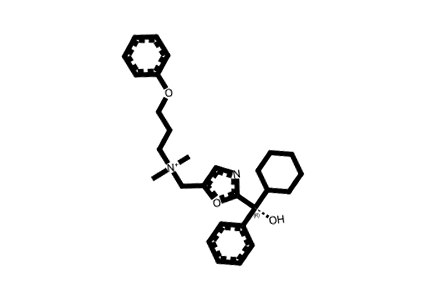 C[N+](C)(CCCOc1ccccc1)Cc1cnc([C@](O)(c2ccccc2)C2CCCCC2)o1